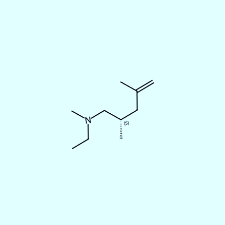 C=C(C)C[C@H](C)CN(C)CC